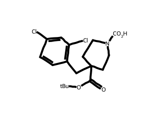 CC(C)(C)OC(=O)C1(Cc2ccc(Cl)cc2Cl)CCN(C(=O)O)CC1